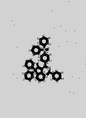 C=C(/N=C(\C1=C(C)C(c2ccccc2)(c2ccccc2)c2ccccc21)c1ccc(P(=C)(c2ccccc2)c2ccccc2)cc1)c1ccccc1